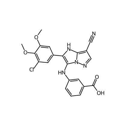 COc1cc(-c2[nH]c3c(C#N)cnn3c2Nc2cccc(C(=O)O)c2)cc(Cl)c1OC